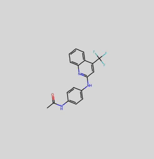 CC(=O)Nc1ccc(Nc2cc(C(F)(F)F)c3ccccc3n2)cc1